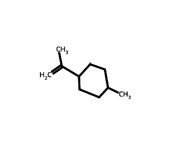 C=C(C)C1[C]CC(C)CC1